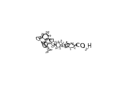 O=C(O)c1ccc2nc(C34CC5CN(CCc6c(-c7c(Cl)cccc7Cl)noc6C6CC6)CC(C3)C54)sc2c1